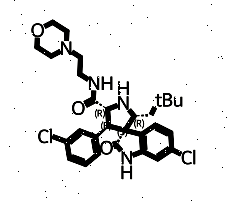 CC(C)(C)C[C@H]1N[C@@H](C(=O)NCCN2CCOCC2)[C@H](c2cccc(Cl)c2)[C@@]12C(=O)Nc1cc(Cl)ccc12